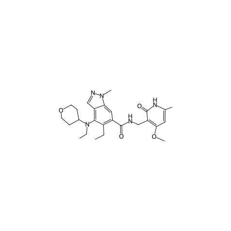 CCc1c(C(=O)NCc2c(OC)cc(C)[nH]c2=O)cc2c(cnn2C)c1N(CC)C1CCOCC1